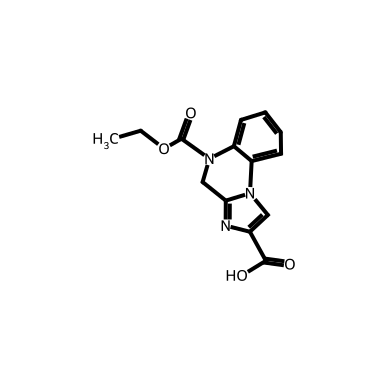 CCOC(=O)N1Cc2nc(C(=O)O)cn2-c2ccccc21